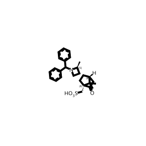 CC1(C)[C@@H]2CC[C@]1(CS(=O)(=O)O)C(=O)C2.C[C@H]1CCN1C(c1ccccc1)c1ccccc1